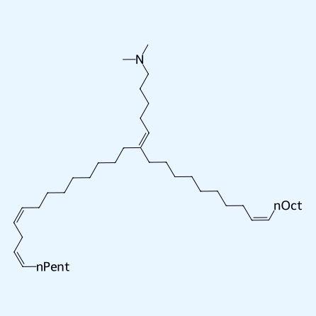 CCCCC/C=C\C/C=C\CCCCCCCC/C(=C\CCCCN(C)C)CCCCCCCC/C=C\CCCCCCCC